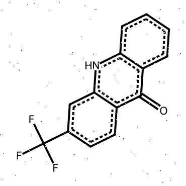 O=c1c2ccccc2[nH]c2cc(C(F)(F)F)ccc12